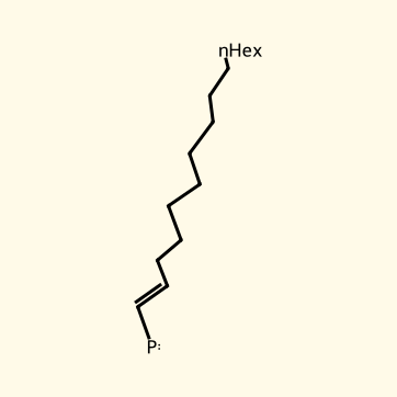 CCCCCCCCCCCCCCC=C[P]